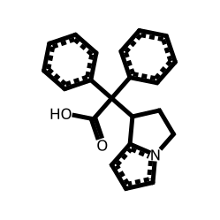 O=C(O)C(c1ccccc1)(c1ccccc1)C1CCn2cccc21